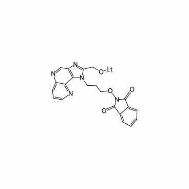 CCOCc1nc2cnc3cccnc3c2n1CCCON1C(=O)c2ccccc2C1=O